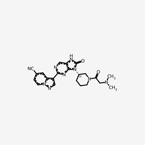 CN(C)CC(=O)N1CCC[C@H](n2c(=O)[nH]c3cnc(-c4cnn5ccc(C#N)cc45)nc32)C1